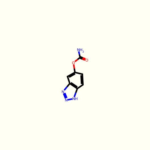 NC(=O)Oc1ccc2[nH]nnc2c1